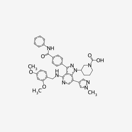 COc1ccc(CNc2ncc(-c3cnn(C)c3)c3c2c(-c2ccc(C(=O)Nc4ccccc4)cc2)nn3C2CCCN(C(=O)O)C2)c(OC)c1